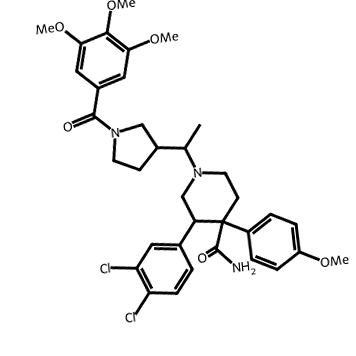 COc1ccc(C2(C(N)=O)CCN(C(C)C3CCN(C(=O)c4cc(OC)c(OC)c(OC)c4)C3)CC2c2ccc(Cl)c(Cl)c2)cc1